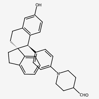 O=CC1CCN(c2ccc([C@@H]3c4ccc(O)cc4CC[C@]34CCc3ccccc34)cc2)CC1